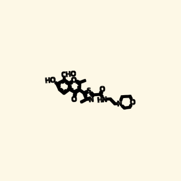 Cc1nc(C(=O)NCCN2CCOCC2)sc1-c1c(C)oc2c(C=O)c(O)ccc2c1=O